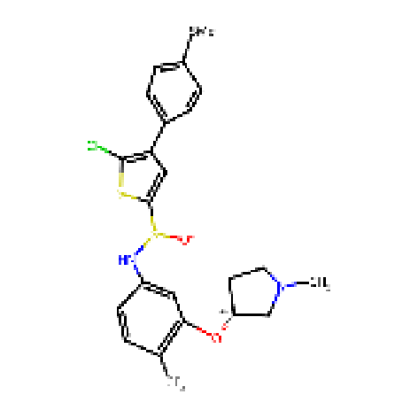 CSc1ccc(-c2cc([S+]([O-])Nc3ccc(C(F)(F)F)c(O[C@@H]4CCN(C)C4)c3)sc2Cl)cc1